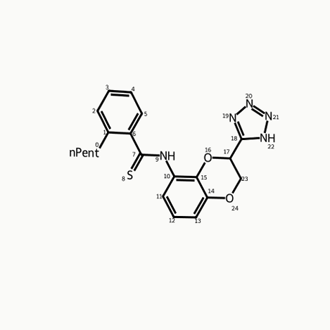 CCCCCc1ccccc1C(=S)Nc1cccc2c1OC(c1nnn[nH]1)CO2